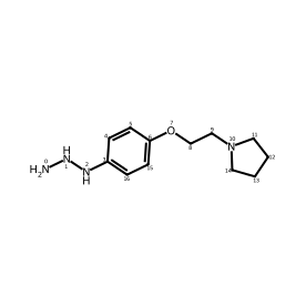 NNNc1ccc(OCCN2CCCC2)cc1